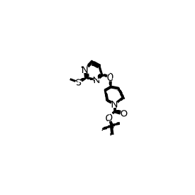 CSc1nccc(OC2CCN(C(=O)OC(C)(C)C)CC2)n1